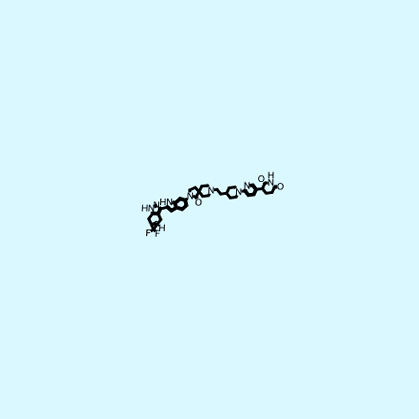 C[C@@]12Cc3[nH]nc(-c4cc5ccc(N6CCC7(CCN(CCC8CCN(c9ccc(C%10CCC(=O)NC%10=O)cn9)CC8)CC7)C6=O)cc5[nH]4)c3C[C@@H]1C2(F)F